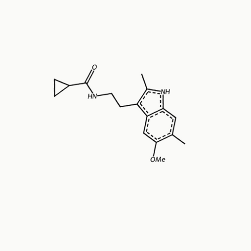 COc1cc2c(CCNC(=O)C3CC3)c(C)[nH]c2cc1C